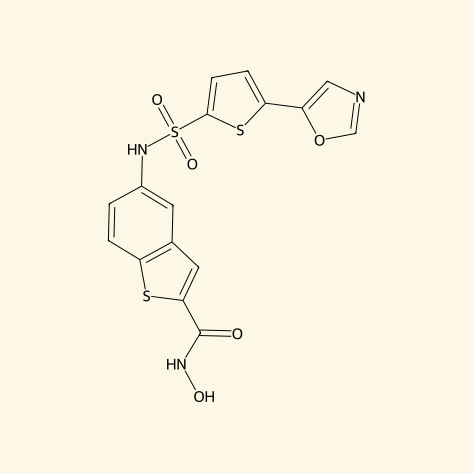 O=C(NO)c1cc2cc(NS(=O)(=O)c3ccc(-c4cnco4)s3)ccc2s1